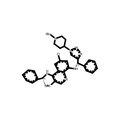 CCC[C@@H](Nc1c(C#N)cnc2c(N[C@@H](c3ccccc3)c3cn(C4CCN(C(C)(C)C)CC4)nn3)cc(Cl)cc12)c1ccccc1